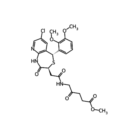 COC(=O)CCC(=O)CNC(=O)C[C@@H]1S[C@@H](c2cccc(OC)c2OC)c2cc(Cl)cnc2NC1=O